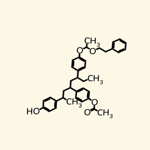 CCC(CC(CC(C)c1ccc(O)cc1)c1ccc(OC(C)=O)cc1)c1ccc(OC(C)OCCc2ccccc2)cc1